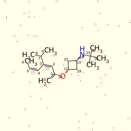 C=C(/C=C(\C=C/C)C(C)C)O[C@H]1C[C@@H](NC(C)(C)C)C1